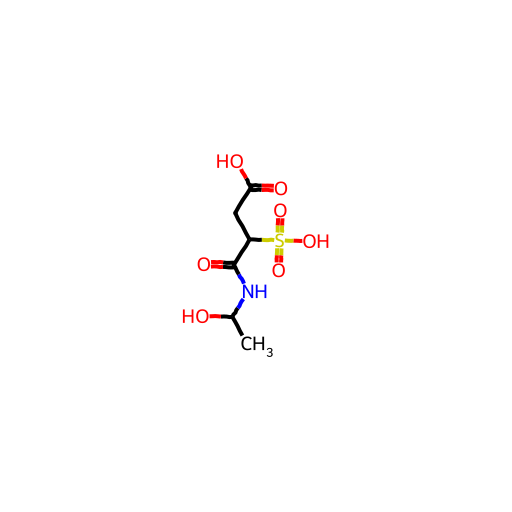 CC(O)NC(=O)C(CC(=O)O)S(=O)(=O)O